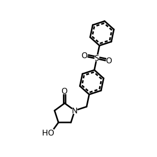 O=C1CC(O)CN1Cc1ccc(S(=O)(=O)c2ccccc2)cc1